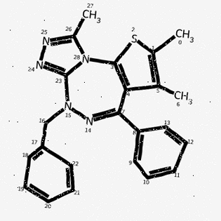 Cc1sc2c(c1C)C(c1ccccc1)=NN(Cc1ccccc1)c1nnc(C)n1-2